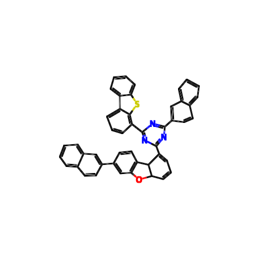 C1=CC2Oc3cc(-c4ccc5ccccc5c4)ccc3C2C(c2nc(-c3ccc4ccccc4c3)nc(-c3cccc4c3sc3ccccc34)n2)=C1